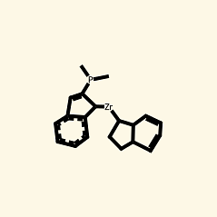 CP(C)C1=Cc2ccccc2[CH]1[Zr][CH]1CCC2C=CC=CC21